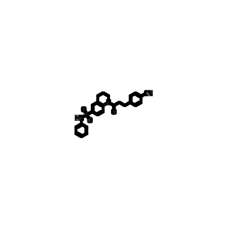 N#Cc1ccc(CCC(=O)N2CCCc3cc(S(=O)(=O)Nc4ccccc4)ccc32)cc1